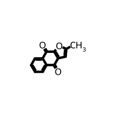 Cc1cc2c(o1)C(=O)c1ccccc1C2=O